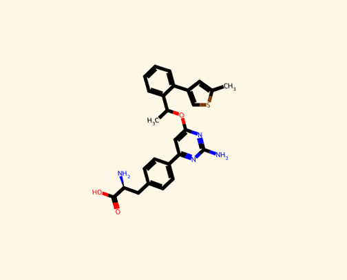 Cc1cc(-c2ccccc2C(C)Oc2cc(-c3ccc(C[C@H](N)C(=O)O)cc3)nc(N)n2)cs1